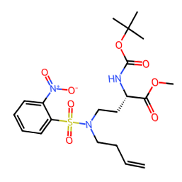 C=CCCN(CC[C@H](NC(=O)OC(C)(C)C)C(=O)OC)S(=O)(=O)c1ccccc1[N+](=O)[O-]